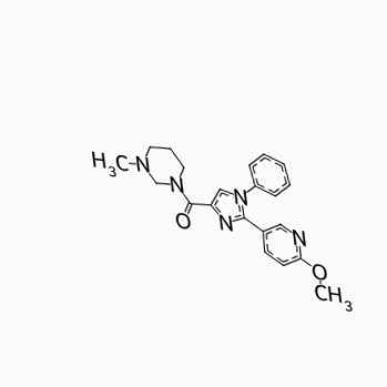 COc1ccc(-c2nc(C(=O)N3CCCN(C)C3)cn2-c2ccccc2)cn1